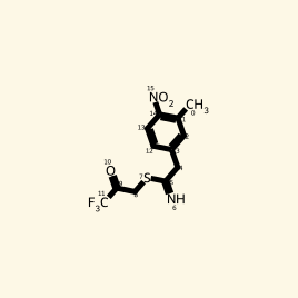 Cc1cc(CC(=N)SCC(=O)C(F)(F)F)ccc1[N+](=O)[O-]